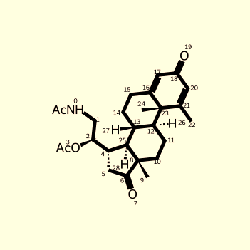 CC(=O)NC[C@H](OC(C)=O)[C@H]1CC(=O)[C@@]2(C)CC[C@H]3[C@@H](CCC4=CC(=O)C=C(C)[C@@]43C)[C@H]12